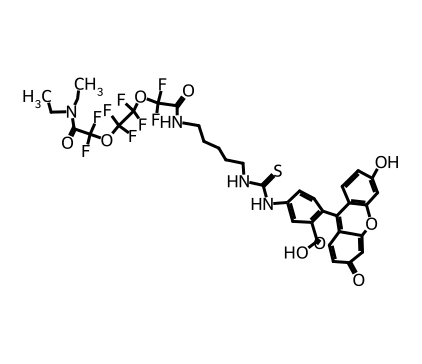 CCN(CC)C(=O)C(F)(F)OC(F)(F)C(F)(F)OC(F)(F)C(=O)NCCCCCNC(=S)Nc1ccc(-c2c3ccc(=O)cc-3oc3cc(O)ccc23)c(C(=O)O)c1